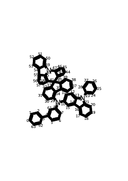 c1ccc(-c2cccc(N(c3ccc4c(c3)c3ccccc3n4-c3ccccc3)c3cccc4c3-c3ccccc3C43c4ccccc4-n4c5ccccc5c5cccc3c54)c2)cc1